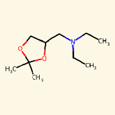 CCN(CC)CC1COC(C)(C)O1